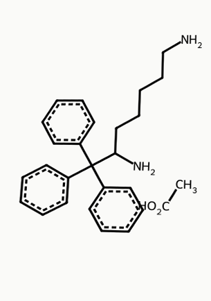 CC(=O)O.NCCCCCC(N)C(c1ccccc1)(c1ccccc1)c1ccccc1